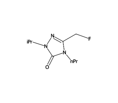 CCCn1c(CF)nn(C(C)C)c1=O